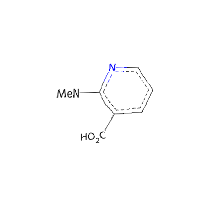 CNc1ncccc1C(=O)O